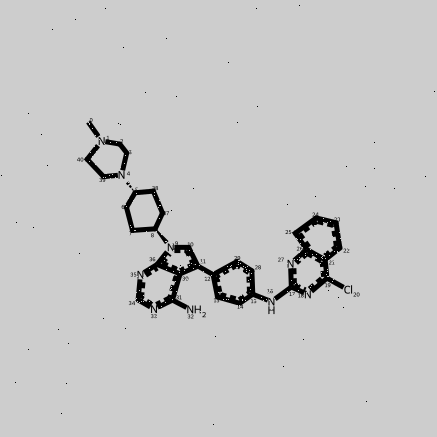 CN1CCN([C@H]2CC[C@H](n3cc(-c4ccc(Nc5nc(Cl)c6ccccc6n5)cc4)c4c(N)ncnc43)CC2)CC1